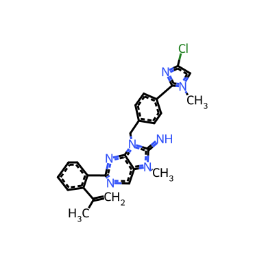 C=C(C)c1ccccc1-c1ncc2c(n1)n(Cc1ccc(-c3nc(Cl)cn3C)cc1)c(=N)n2C